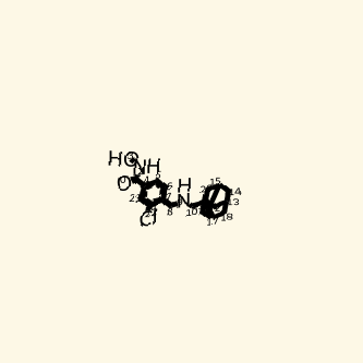 O=C(NO)c1ccc(CNCC23CC4CC(CC(C4)C2)C3)c(Cl)c1